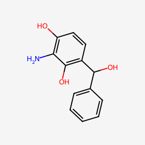 Nc1c(O)ccc(C(O)c2ccccc2)c1O